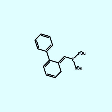 CCCCP(C=C1CC=CC=C1c1ccccc1)CCCC